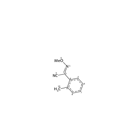 CO/N=C(\C#N)c1ccccc1C